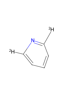 [2H]c1cccc([2H])n1